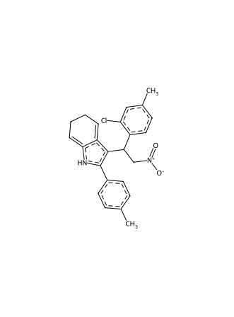 Cc1ccc(-c2[nH]c3c(c2C(C[N+](=O)[O-])c2ccc(C)cc2Cl)=CCCC=3)cc1